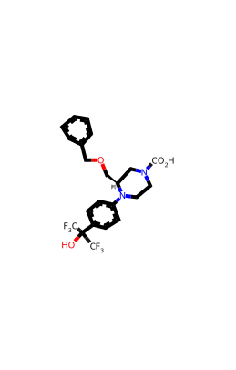 O=C(O)N1CCN(c2ccc(C(O)(C(F)(F)F)C(F)(F)F)cc2)[C@@H](COCc2ccccc2)C1